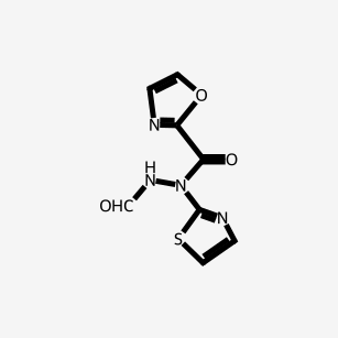 O=CNN(C(=O)c1ncco1)c1nccs1